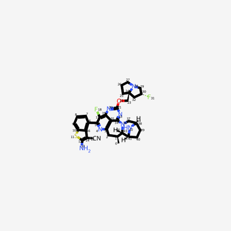 C[C@H]1Cc2nc(-c3cccc4sc(N)c(C#N)c34)c(F)c3nc(OC[C@@]45CCCN4C[C@H](F)C5)nc(c23)N2C[C@H]3CC[C@H](N3)[C@H]12